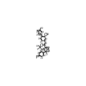 COc1cc(C=C2OC(C)(C)CN3C2=NOC3(C)c2ccc(F)cc2)ccc1-n1cnc(C)c1